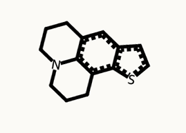 c1cc2cc3c4c(c2s1)CCCN4CCC3